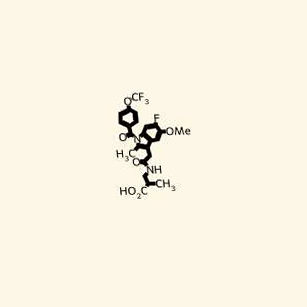 COc1cc2c(CC(=O)NCC(C)C(=O)O)c(C)n(C(=O)c3ccc(OC(F)(F)F)cc3)c2cc1F